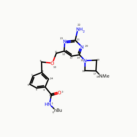 CCCCNC(=O)c1cccc(COCc2cc(N3CC(NC)C3)nc(N)n2)c1